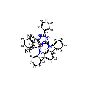 N#Cc1cc(C#N)c(-n2c3ccccc3c3ccc4c5ccccc5n(-c5nc(-c6ccccc6)nc(-c6ccccc6)n5)c4c32)c(C#N)c1